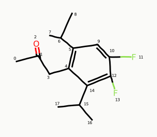 CC(=O)Cc1c(C(C)C)cc(F)c(F)c1C(C)C